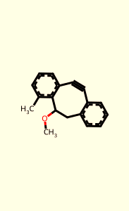 COC1Cc2ccccc2C#Cc2cccc(C)c21